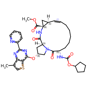 COC(=O)[C@@]12C[C@H]1/C=C\CCCCC[C@H](NC(=O)OC1CCCC1)C(=O)N1C[C@H](Oc3nc(-c4ccccn4)nc4c(C)csc34)C[C@H]1C(=O)N2